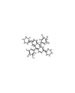 Cc1cc(-c2c3ccc(N4CCCCC4)cc3c(-c3cc(C)c(C)c(C)c3)c3ccc(N4CCCCC4)cc23)cc(C)c1C